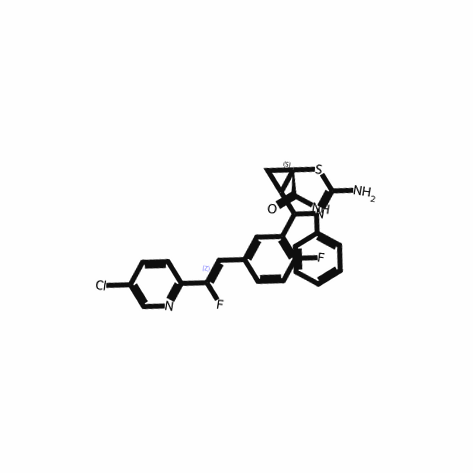 NC1=NC(c2cc(/C=C(\F)c3ccc(Cl)cn3)ccc2F)C2C[C@]2(C(=O)Nc2ccccc2)S1